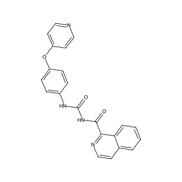 O=C(NC(=O)c1nccc2ccccc12)Nc1ccc(Oc2ccncc2)cc1